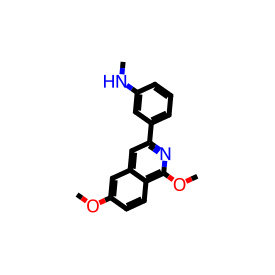 CNc1cccc(-c2cc3cc(OC)ccc3c(OC)n2)c1